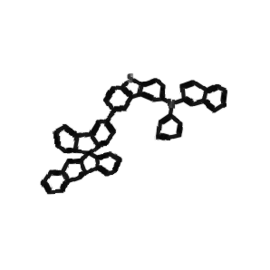 c1ccc(N(c2ccc3ccccc3c2)c2ccc3sc4ccc(-c5ccc6c(c5)-c5ccccc5C65c6ccccc6-c6cc7ccccc7cc65)cc4c3c2)cc1